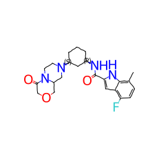 Cc1ccc(F)c2cc(C(=O)N[C@@H]3CCC[C@H](N4CCN5C(=O)COCC5C4)C3)[nH]c12